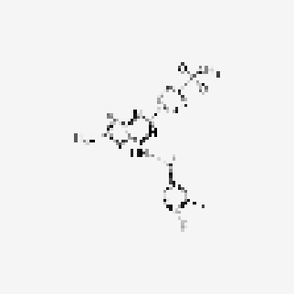 Cc1cc2c(N[C@@H]3C[C@H]3c3ccc(F)c(F)c3)nc(-c3ccc(S(C)(=O)=O)cc3)nc2s1